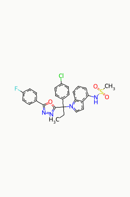 CCC(c1ccc(Cl)cc1)(c1nnc(-c2ccc(F)cc2)o1)n1ccc2c(NS(C)(=O)=O)cccc21